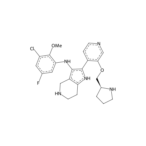 COc1c(Cl)cc(F)cc1Nc1c(-c2ccncc2OC[C@@H]2CCCN2)[nH]c2c1CNCC2